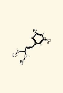 CCOC(/C=C/c1cc(F)cc(Cl)c1)OCC